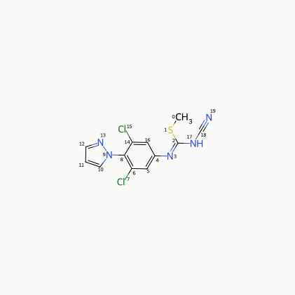 CS/C(=N\c1cc(Cl)c(-n2cccn2)c(Cl)c1)NC#N